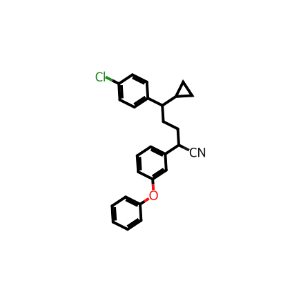 N#CC(CCC(c1ccc(Cl)cc1)C1CC1)c1cccc(Oc2ccccc2)c1